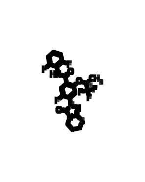 C[C@H](Oc1cc(-n2nc3n(c2=O)CCCS3)c(F)cc1C(=O)Nc1c(F)cccc1F)C(F)(F)F